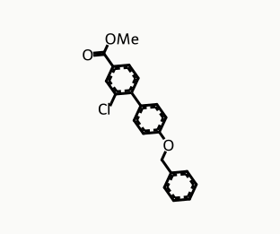 COC(=O)c1ccc(-c2ccc(OCc3ccccc3)cc2)c(Cl)c1